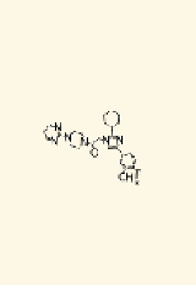 Cc1cc(-c2cn(CC(=O)N3CCN(c4ncccn4)CC3)c(C3CCCCC3)n2)ccc1F